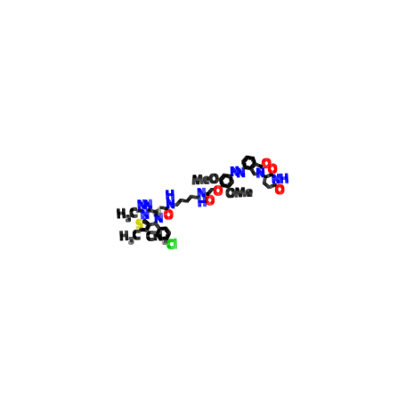 COc1cc(/N=N/c2cccc3c2CN(C2CCC(=O)NC2=O)C3=O)cc(OC)c1OCC(=O)NCCCCCNC(=O)C[C@@H]1N=C(c2ccc(Cl)cc2)c2c(sc(C)c2C)-n2c(C)nnc21